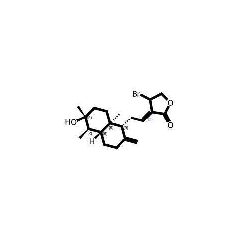 C=C1CC[C@@H]2[C@@H](C)[C@](C)(O)CC[C@@]2(C)[C@@H]1C/C=C1/C(=O)OCC1Br